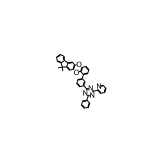 CC1(C)c2ccccc2-c2cc3c(cc21)Oc1c(cccc1-c1cccc(-c2nc(-c4ccccc4)nc(-c4ccccn4)n2)c1)O3